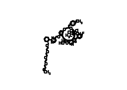 COCCOCCOCCOCCOC[C@@H]1CCCC[C@H]1c1nccc(COc2ccc3cc2C[C@H](C(=O)O)Cc2ncnc4sc(-c5ccc(F)cc5)c(c24)-c2c(C)c(Cl)c(c(Cl)c2C)OC(CN2CCN(C)CC2)CO3)n1